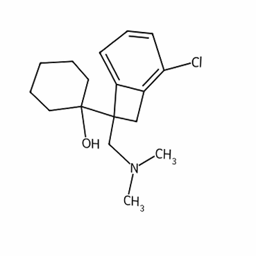 CN(C)CC1(C2(O)CCCCC2)Cc2c(Cl)cccc21